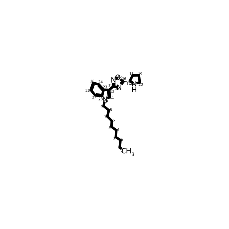 CCCCCCCCCCn1cc(-c2noc([C@@H]3CCCN3)n2)c2ccccc21